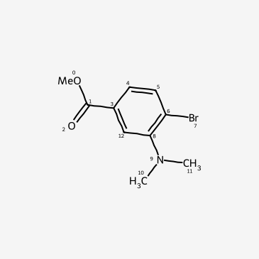 COC(=O)c1ccc(Br)c(N(C)C)c1